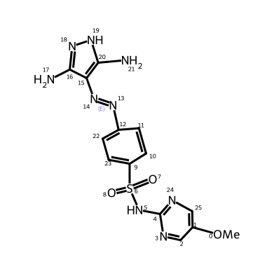 COc1cnc(NS(=O)(=O)c2ccc(/N=N/c3c(N)n[nH]c3N)cc2)nc1